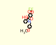 COc1ccc(CN2C(=O)C(O)(c3ccc4c(c3)OC(F)(F)O4)c3ccccc32)cc1